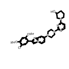 COc1cc(OC)c(-c2cn3ccc(N4CCN(c5nccc(N6CCCC(O)C6)n5)CC4)cc3n2)cc1Cl